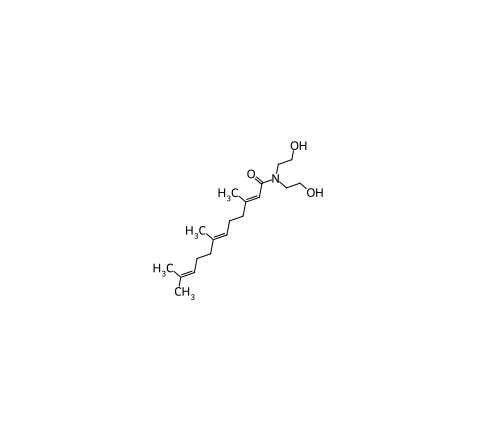 CC(C)=CCC/C(C)=C/CC/C(C)=C/C(=O)N(CCO)CCO